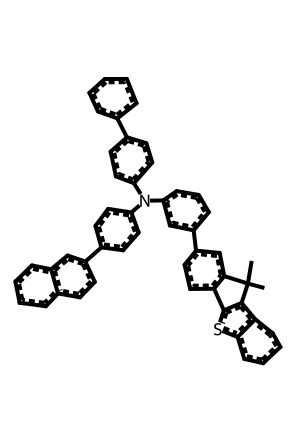 CC1(C)c2cc(-c3cccc(N(c4ccc(-c5ccccc5)cc4)c4ccc(-c5ccc6ccccc6c5)cc4)c3)ccc2-c2sc3ccccc3c21